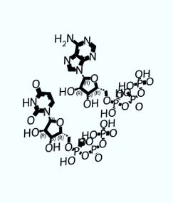 Nc1ncnc2c1ncn2[C@@H]1O[C@H](COP(=O)(O)OP(=O)(O)OP(=O)(O)O)[C@@H](O)[C@H]1O.O=c1ccn([C@@H]2O[C@H](COP(=O)(O)OP(=O)(O)OP(=O)(O)O)[C@@H](O)[C@H]2O)c(=O)[nH]1